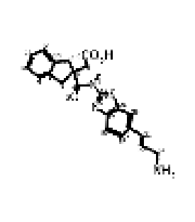 CN(C(=O)C1(CC(=O)O)Cc2ccccc2C1)c1nc2ccc(/C=C/CN)cc2s1